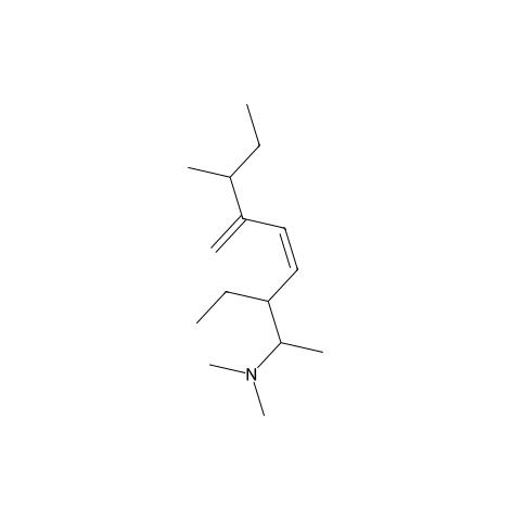 C=C(/C=C\C(CC)C(C)N(C)C)C(C)CC